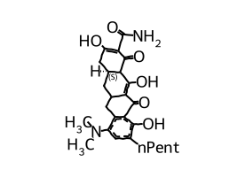 CCCCCc1cc(N(C)C)c2c(c1O)C(=O)C1=C(O)C3C(=O)C(C(N)=O)=C(O)C[C@@H]3CC1C2